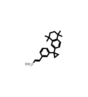 CCOC(=O)C=Cc1cccc(C2(c3ccc4c(c3)C(C)(C)CCC4(C)C)CC2)c1